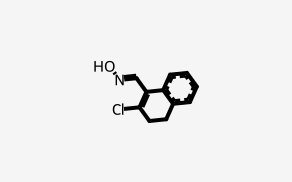 ON=CC1=C(Cl)CCc2ccccc21